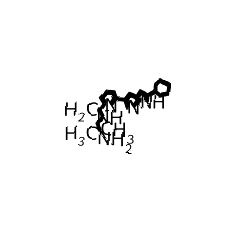 C=C(NCC(C)(C)N)c1cccc(-c2cnc3[nH]c(C4C=CC=CC4)cc3c2)n1